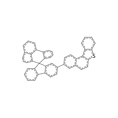 c1ccc2c(c1)-c1ccc(-c3ccc4c(ccc5sc6ccccc6c54)c3)cc1C21c2ccccc2-c2cccc3cccc1c23